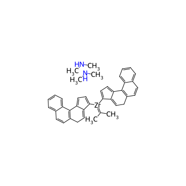 CNC.CNC.C[C](C)=[Zr]([C]1=CC=C2C1=CCc1ccc3ccccc3c12)[C]1=CC=C2C1=CCc1ccc3ccccc3c12